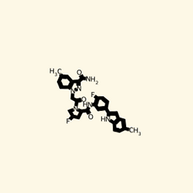 Cc1ccc2[nH]c(-c3ccc(F)c(NC(=O)C4CC(F)CN4C(=O)Cn4nc(C(N)=O)c5cc(C)ccc54)c3)cc2c1